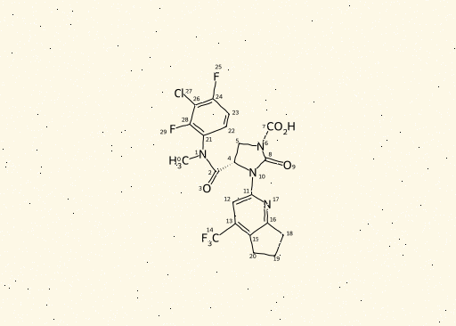 CN(C(=O)[C@@H]1CN(C(=O)O)C(=O)N1c1cc(C(F)(F)F)c2c(n1)CCC2)c1ccc(F)c(Cl)c1F